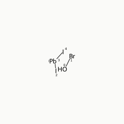 OBr.[I][Pb][I]